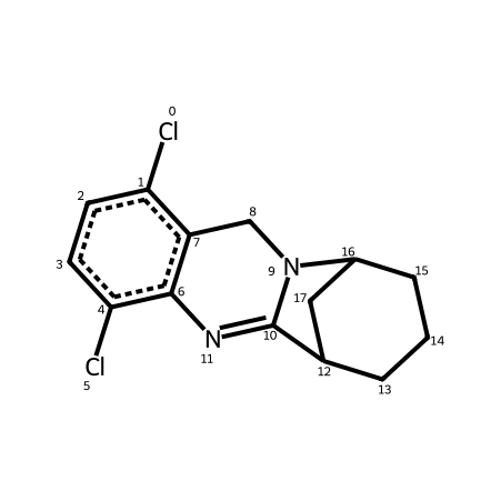 Clc1ccc(Cl)c2c1CN1C(=N2)C2CCCC1C2